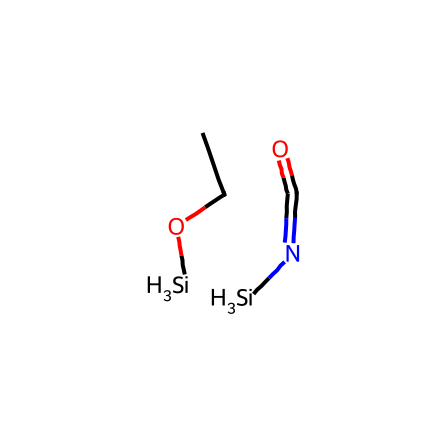 CCO[SiH3].O=C=N[SiH3]